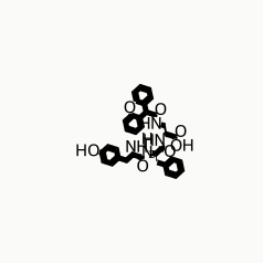 N[C@@H](Cc1ccc(O)cc1)C(=O)N[C@@H](Cc1ccccc1)C(=O)N[C@@H](CNC(=O)C1c2ccccc2Oc2ccccc21)C(=O)O